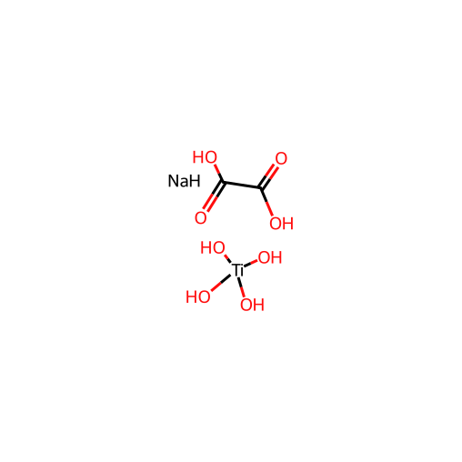 O=C(O)C(=O)O.[NaH].[OH][Ti]([OH])([OH])[OH]